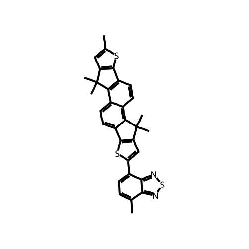 Cc1cc2c(s1)-c1ccc3c4c(ccc3c1C2(C)C)-c1sc(-c2ccc(C)c3nsnc23)cc1C4(C)C